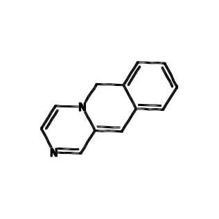 C1=CN2Cc3ccccc3C=C2C=N1